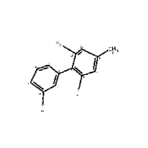 Cc1cc(F)c(-c2[c]ccc(F)c2)c(F)c1